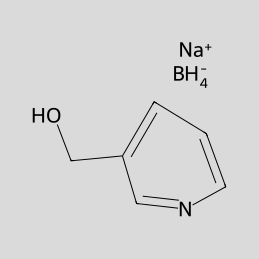 OCc1cccnc1.[BH4-].[Na+]